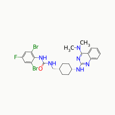 CN(C)c1nc(N[C@H]2CC[C@@H](CNC(=O)Nc3c(Br)cc(F)cc3Br)CC2)nc2ccccc12